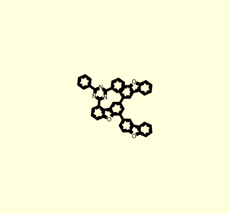 c1ccc(-c2nc(-c3ccccc3)nc(-c3cccc4oc5c(-c6ccc7oc8ccccc8c7c6)cc(-c6ccc7oc8ccccc8c7c6)cc5c34)n2)cc1